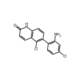 Nc1cc(Cl)ccc1-c1ccc2[nH]c(=O)ccc2c1Cl